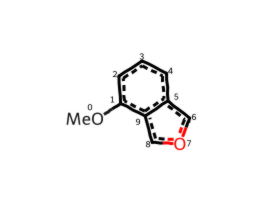 COc1cccc2[c]occ12